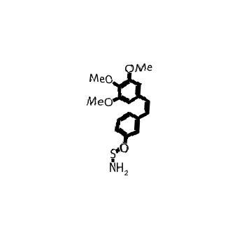 COc1cc(/C=C\c2cccc(OSN)c2)cc(OC)c1OC